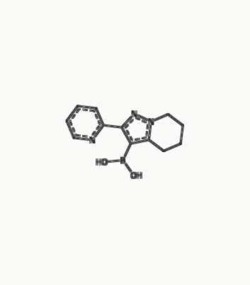 OB(O)c1c(-c2ccccn2)nn2c1CCCC2